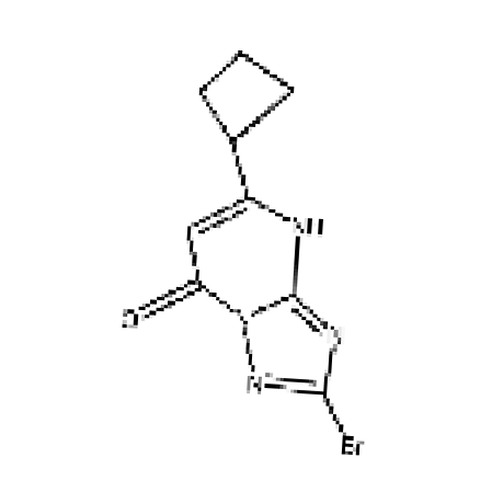 O=c1cc(C2CCC2)[nH]c2nc(Br)nn12